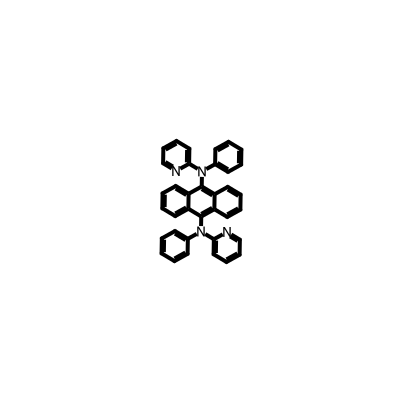 c1ccc(N(c2ccccn2)c2c3ccccc3c(N(c3ccccc3)c3ccccn3)c3ccccc23)cc1